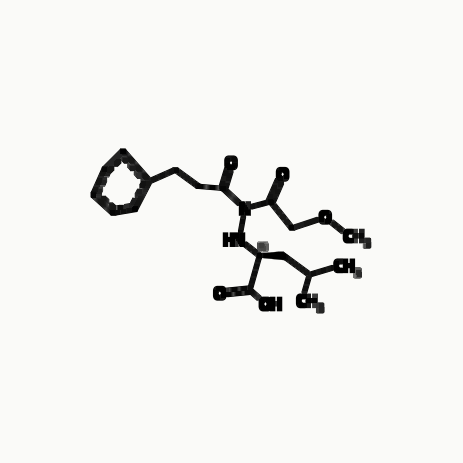 COCC(=O)N(N[C@@H](CC(C)C)C(=O)O)C(=O)CCc1ccccc1